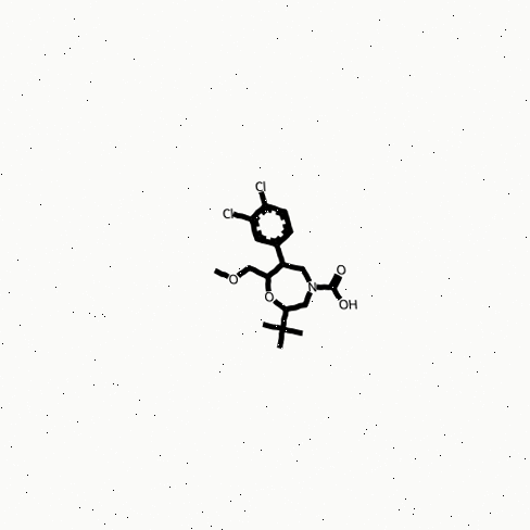 COCC1OC(C(C)(C)C)CN(C(=O)O)CC1c1ccc(Cl)c(Cl)c1